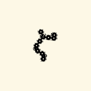 c1ccc(-c2nc(-c3ccc(-c4ccc5oc6ccc(-c7ccc8oc9ccccc9c8c7)cc6c5c4)cc3)cc(-c3ccc(-c4cccc5cccnc45)cc3)n2)cc1